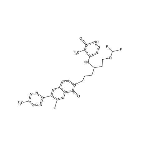 O=c1[nH]ncc(NC(CCCn2ccc3cc(-c4ncc(C(F)(F)F)cn4)c(F)cc3c2=O)CCOC(F)F)c1C(F)(F)F